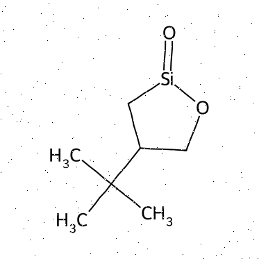 CC(C)(C)C1CO[Si](=O)C1